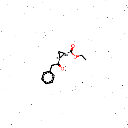 CCOC(=O)[C@H]1C[C@@H]1C(=O)Cc1ccccc1